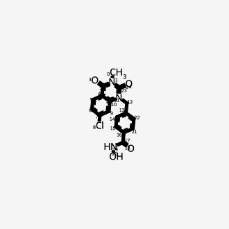 Cn1c(=O)c2ccc(Cl)cc2n(Cc2ccc(C(=O)NO)cc2)c1=O